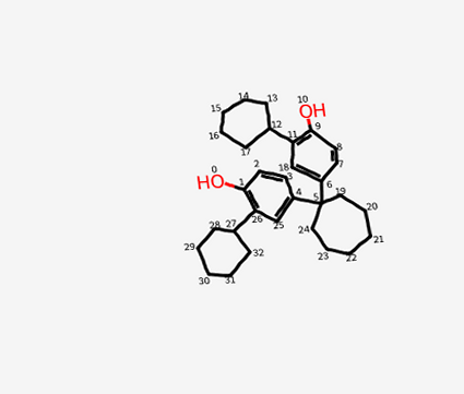 Oc1ccc(C2(c3ccc(O)c(C4CCCCC4)c3)CCCCCC2)cc1C1CCCCC1